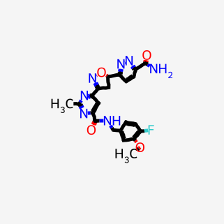 COc1cc(CNC(=O)c2cc(C3=NOC(c4ccc(C(N)=O)nn4)C3)nc(C)n2)ccc1F